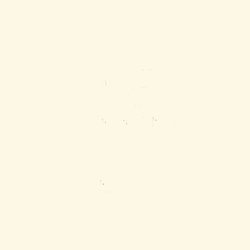 Cc1cccc(C)c1C(=O)OCC(=O)[C@H](CC(=O)O)NC(=O)C1CCCN1C(=O)[C@@H](Cc1ccc(I)cc1)NC(=O)Cc1ccc(O)c([N+](=O)[O-])c1